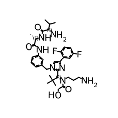 CC(C)[C@H](N)C(=O)N[C@@H](C)C(=O)Nc1cccc(Cn2cc(-c3cc(F)ccc3F)nc2[C@H](N(CCCN)C(=O)CO)C(C)(C)C)c1